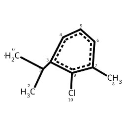 [CH2]C(C)c1cccc(C)c1Cl